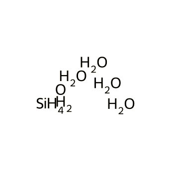 O.O.O.O.O.[SiH4]